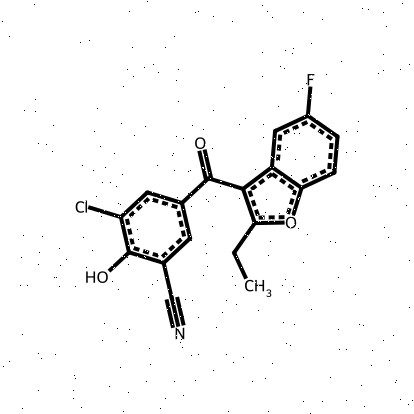 CCc1oc2ccc(F)cc2c1C(=O)c1cc(Cl)c(O)c(C#N)c1